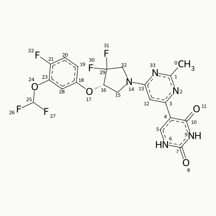 Cc1nc(-c2c[nH]c(=O)[nH]c2=O)cc(N2C[C@H](Oc3ccc(F)c(OC(F)F)c3)C(F)(F)C2)n1